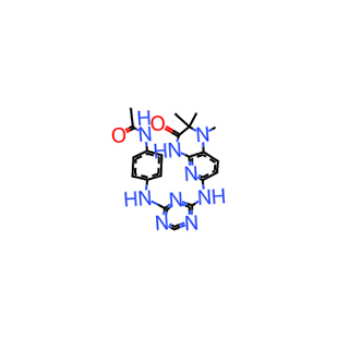 CC(=O)Nc1ccc(Nc2ncnc(Nc3ccc4c(n3)NC(=O)C(C)(C)N4C)n2)cc1